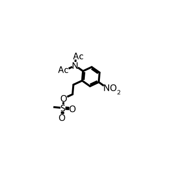 CC(=O)N(C(C)=O)c1ccc([N+](=O)[O-])cc1CCOS(C)(=O)=O